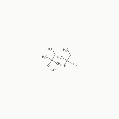 CCC(C)(C)[O-].CCC(C)(C)[O-].[Ca+2]